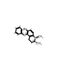 C[C@H]1CCc2c(ccc(Br)c2Oc2ccccc2)N1C